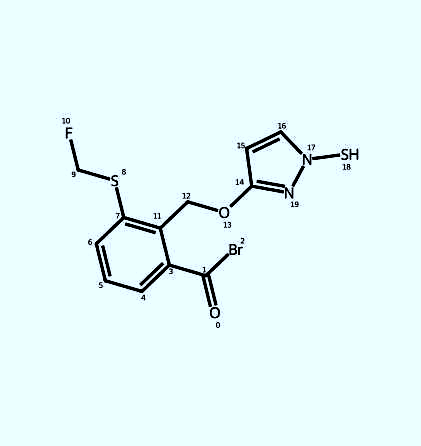 O=C(Br)c1cccc(SCF)c1COc1ccn(S)n1